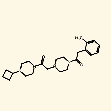 Cc1ccccc1CC(=O)N1CCN(CC(=O)N2CCN(C3CCC3)CC2)CC1